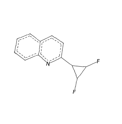 FC1C(F)C1c1ccc2ccccc2n1